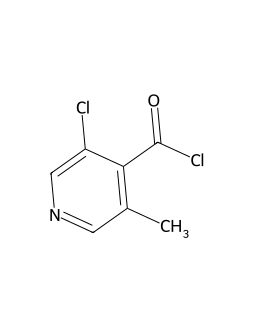 Cc1cncc(Cl)c1C(=O)Cl